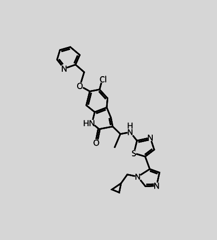 CC(Nc1ncc(-c2cncn2CC2CC2)s1)c1cc2cc(Cl)c(OCc3ccccn3)cc2[nH]c1=O